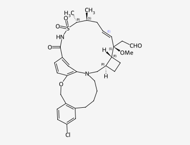 CO[C@]1(CC=O)/C=C/C[C@H](C)[C@@H](C)S(=O)(=O)NC(=O)c2ccc3c(c2)N(CCCCc2cc(Cl)ccc2CO3)C[C@@H]2CC[C@H]21